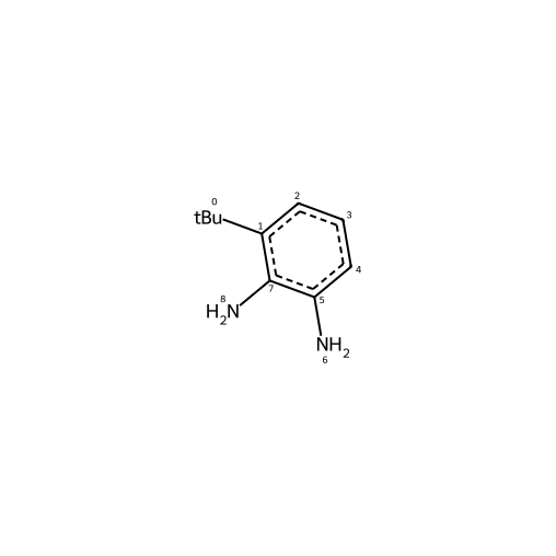 CC(C)(C)c1cccc(N)c1N